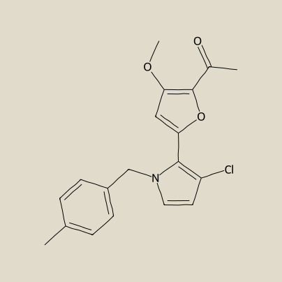 COc1cc(-c2c(Cl)ccn2Cc2ccc(C)cc2)oc1C(C)=O